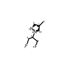 Cc1cnn(C(CF)CF)c1